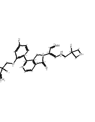 C=CC(F)(F)COc1cc(F)ccc1-c1nccc2c1CN(/C(C=N)=C/NCC1(F)COC1)C2=O